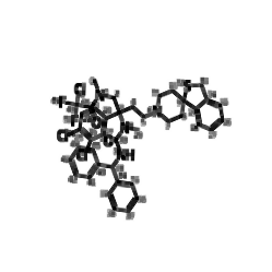 CN(CC(CCN1CCC2(CC1)SCc1ccccc12)(c1ccc(Cl)c(Cl)c1)N(C)C(=O)NC(c1ccccc1)c1ccccc1)C(=O)C(F)(F)Cl